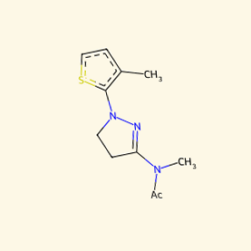 CC(=O)N(C)C1=NN(c2sccc2C)CC1